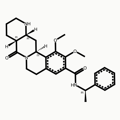 COc1c(C(=O)N[C@H](C)c2ccccc2)cc2c(c1OC)[C@@H]1C[C@H]3NCCC[C@H]3C(=O)N1CC2